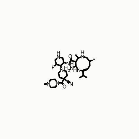 CC(C)/C1=C/CC(F)CNC(C)C(C(=O)NC2CNCC(F)C2N2CCC(C#N)(C(=O)N3CCN(C)CC3)CC2)C(N)N1